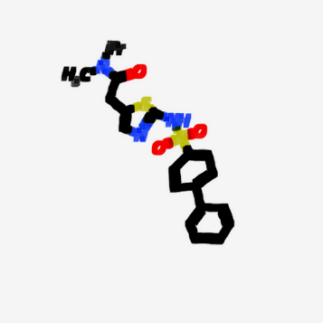 CC(C)N(C)C(=O)Cc1cnc(NS(=O)(=O)c2ccc(-c3ccccc3)cc2)s1